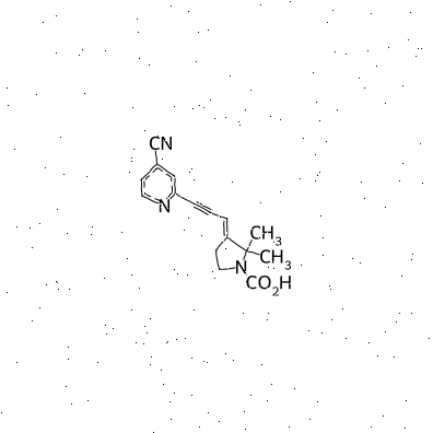 CC1(C)/C(=C/C#Cc2cc(C#N)ccn2)CCN1C(=O)O